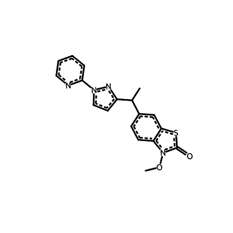 COn1c(=O)sc2cc(C(C)c3ccn(-c4ccccn4)n3)ccc21